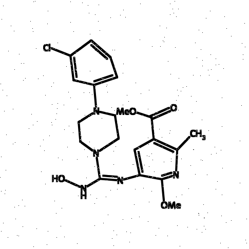 COC(=O)c1cc(N=C(NO)N2CCN(c3cccc(Cl)c3)CC2)c(OC)nc1C